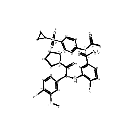 COc1cc([C@H](Nc2cc(C(N)=O)ccc2F)C(=O)N2CCC[C@@H]2c2cc(NC(C)=O)ccc2S(=O)(=O)C2CC2)ccc1F